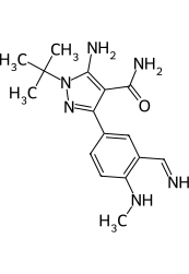 CNc1ccc(-c2nn(C(C)(C)C)c(N)c2C(N)=O)cc1C=N